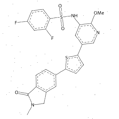 COc1ncc(-c2ccc(-c3ccc4c(c3)CN(C)C4=O)s2)cc1NS(=O)(=O)c1ccc(F)cc1F